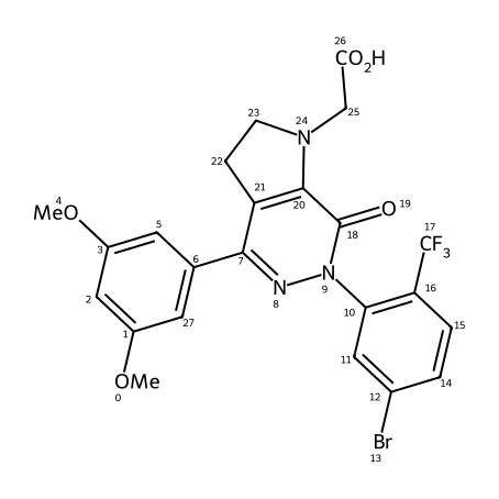 COc1cc(OC)cc(-c2nn(-c3cc(Br)ccc3C(F)(F)F)c(=O)c3c2CCN3CC(=O)O)c1